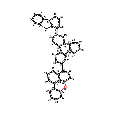 c1ccc2c(c1)Cc1c(-c3ccc4c5ccc(-c6ccc7c8c(cccc68)-c6ccccc6O7)cc5c5ccccc5c4c3)cccc1-2